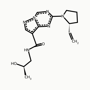 C=C[C@H]1CCCN1c1ncn2ncc(C(=O)NC[C@@H](C)O)c2n1